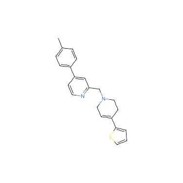 Cc1ccc(-c2ccnc(CN3CC=C(c4cccs4)CC3)c2)cc1